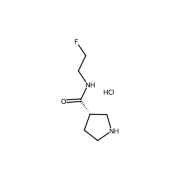 Cl.O=C(NCCF)[C@H]1CCNC1